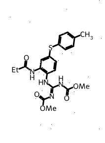 CCC(=O)Nc1cc(Sc2ccc(C)cc2)ccc1NC(=NC(=O)OC)NC(=O)OC